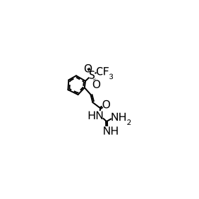 N=C(N)NC(=O)C=Cc1ccccc1S(=O)(=O)C(F)(F)F